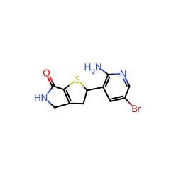 Nc1ncc(Br)cc1C1CC2=C(S1)C(=O)NC2